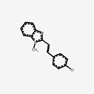 Cn1c(/C=C/c2ccc(Cl)cc2)nc2ccccc21